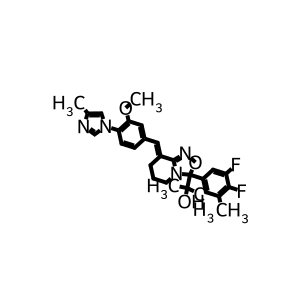 COc1cc(/C=C2\CCCN3C2=NOC3(c2cc(C)c(F)c(F)c2)C(C)(C)O)ccc1-n1cnc(C)c1